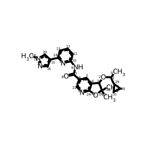 CC(OC1c2cc(C(=O)Nc3cccc(-c4cnn(C)c4)n3)cnc2OC1(C)C)C1CC1